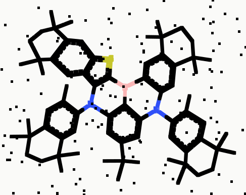 Cc1cc2c(cc1N1c3cc4c(cc3B3c5sc6cc7c(cc6c5N(c5cc6c(cc5C)C(C)(C)CCC6(C)C)c5cc(C(C)(C)C)cc1c53)C(C)(C)CCC7(C)C)C(C)(C)CCC4(C)C)C(C)(C)CCC2(C)C